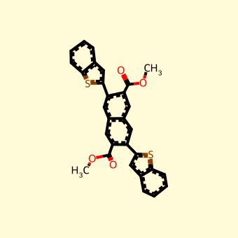 COC(=O)c1cc2cc(-c3cc4ccccc4s3)c(C(=O)OC)cc2cc1-c1cc2ccccc2s1